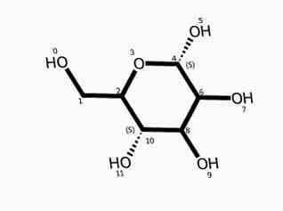 OCC1O[C@H](O)C(O)C(O)[C@@H]1O